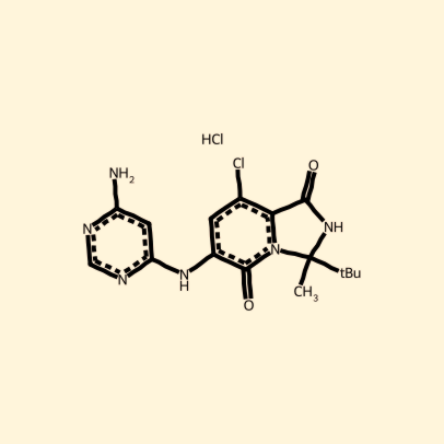 CC(C)(C)C1(C)NC(=O)c2c(Cl)cc(Nc3cc(N)ncn3)c(=O)n21.Cl